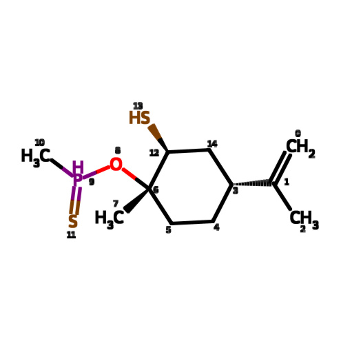 C=C(C)[C@@H]1CC[C@](C)(O[PH](C)=S)[C@@H](S)C1